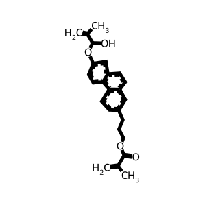 C=C(C)C(=O)OCCCc1ccc2c(ccc3cc(OC(O)C(=C)C)ccc32)c1